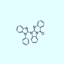 O=c1c2ccccc2nc2n(-c3nc4ccccc4n3-c3ccccc3)c3ccccc3n12